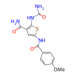 COc1ccc(C(=O)Nc2cc(C(N)=O)c(NC(N)=O)s2)cc1